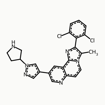 Cc1c(-c2c(Cl)cccc2Cl)nc2c3cc(-c4cnn(C5CCNC5)c4)cnc3ccn12